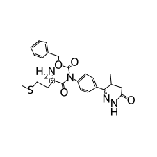 CSCC[C@H](N)C(=O)N(C(=O)OCc1ccccc1)c1ccc(C2=NNC(=O)CC2C)cc1